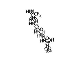 CC(C)(C)OC(=O)N1C[C@@H](O)[C@H](NC(=O)N2C[C@@H]3C(NC(=O)c4ccc(Nc5nccn6c(-c7c[nH]nc7C(F)(F)F)cnc56)cc4Cl)[C@@H]3C2)C1